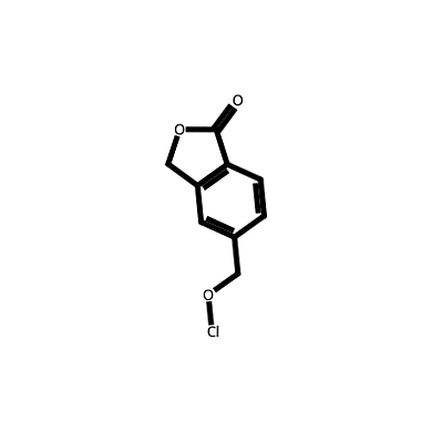 O=C1OCc2cc(COCl)ccc21